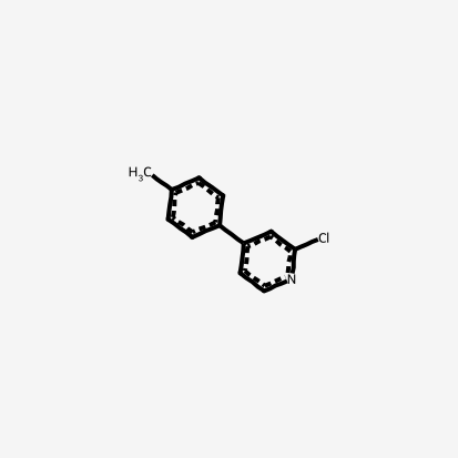 Cc1ccc(-c2ccnc(Cl)c2)cc1